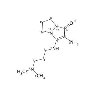 CN(C)CCCNc1c(N)c(=O)n2n1CCC2